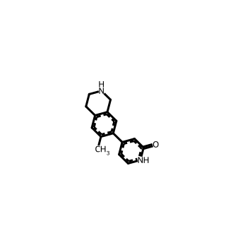 Cc1cc2c(cc1-c1cc[nH]c(=O)c1)CNCC2